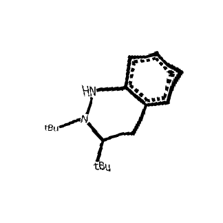 CC(C)(C)C1Cc2ccccc2NN1C(C)(C)C